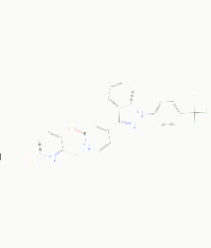 COc1cccc(Cn2ccc(-c3nn(-c4ccc(C(F)(F)F)cc4)c4ccccc34)cc2=O)n1